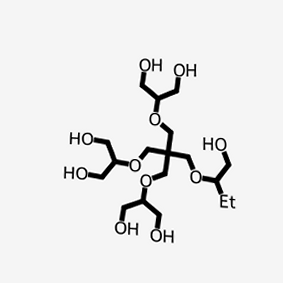 CCC(CO)OCC(COC(CO)CO)(COC(CO)CO)COC(CO)CO